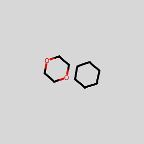 C1CCCCC1.C1COCCO1